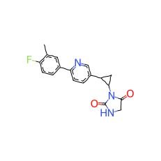 Cc1cc(-c2ccc(C3CC3N3C(=O)CNC3=O)cn2)ccc1F